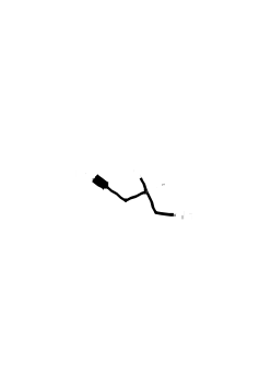 C#CC[C@@](C)(O)CCCC